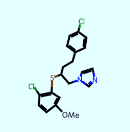 COc1ccc(Cl)c(SC(CCc2ccc(Cl)cc2)Cn2ccnc2)c1